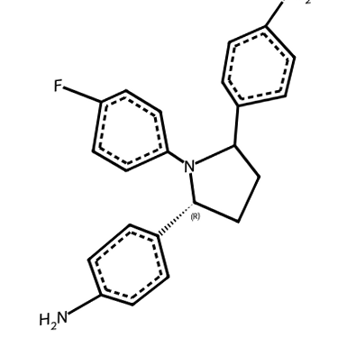 Nc1ccc(C2CC[C@H](c3ccc(N)cc3)N2c2ccc(F)cc2)cc1